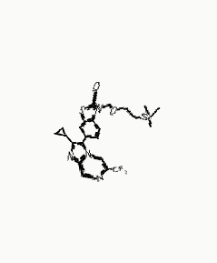 C[Si](C)(C)CCOCn1c(=O)sc2cc(-c3c(C4CC4)nc4cnc(C(F)(F)F)cn34)ccc21